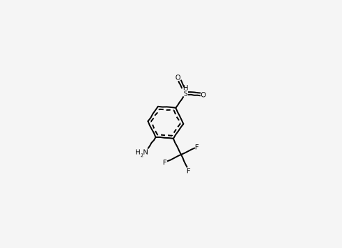 Nc1ccc([SH](=O)=O)cc1C(F)(F)F